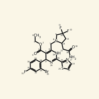 CCOC(=O)C1=C(CN2CC(F)(F)CC2CC(N)=O)NC(c2nccs2)=NC1c1ccc(F)cc1Br